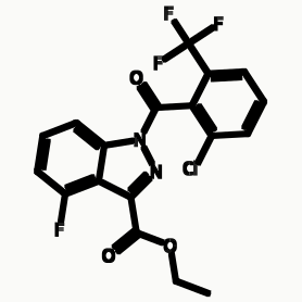 CCOC(=O)c1nn(C(=O)c2c(Cl)cccc2C(F)(F)F)c2cccc(F)c12